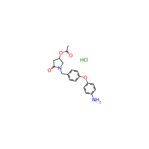 CC(=O)OC1CC(=O)N(Cc2ccc(Oc3ccc(N)cc3)cc2)C1.Cl